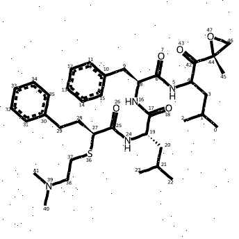 CC(C)CC(NC(=O)[C@H](Cc1ccccc1)NC(=O)[C@H](CC(C)C)NC(=O)[C@H](CCc1ccccc1)SCCN(C)C)C(=O)[C@@]1(C)CO1